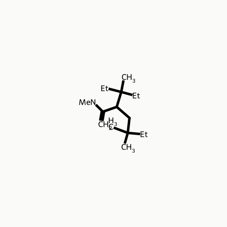 C=C(NC)C(CC(C)(C)CC)C(C)(CC)CC